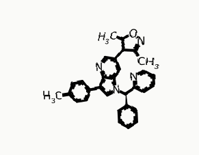 CC1=NOC(C)C1c1cnc2c(-c3ccc(C)cc3)cn([C@H](c3ccccc3)c3ccccn3)c2c1